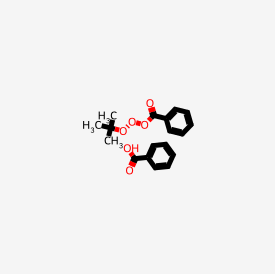 CC(C)(C)OOOC(=O)c1ccccc1.O=C(O)c1ccccc1